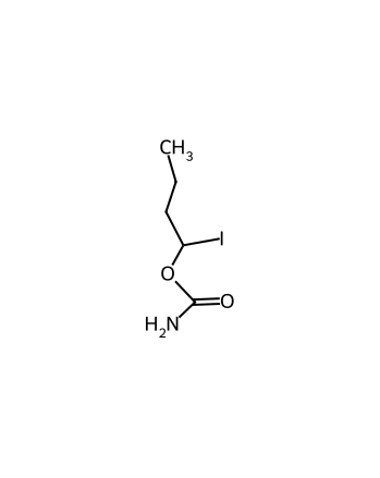 CCCC(I)OC(N)=O